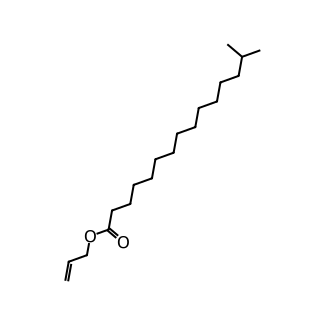 C=CCOC(=O)CCCCCCCCCCCCC(C)C